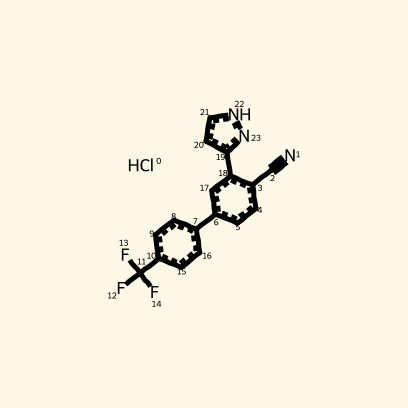 Cl.N#Cc1ccc(-c2ccc(C(F)(F)F)cc2)cc1-c1cc[nH]n1